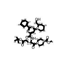 COC(=O)N1CCN(C(=O)[C@H](CCC(=O)OC(C)(C)C)NC(=O)c2cc(N3CCCCC3CO)nc(-c3ccccc3)n2)CC1